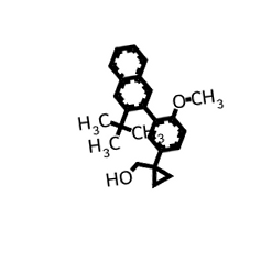 COc1ccc(C2(CO)CC2)cc1-c1cc2ccccc2cc1C(C)(C)C